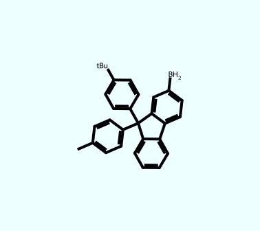 Bc1ccc2c(c1)C(c1ccc(C)cc1)(c1ccc(C(C)(C)C)cc1)c1ccccc1-2